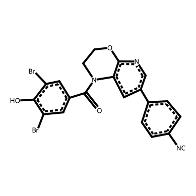 [C-]#[N+]c1ccc(-c2cnc3c(c2)N(C(=O)c2cc(Br)c(O)c(Br)c2)CCO3)cc1